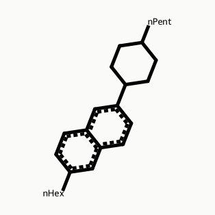 CCCCCCc1ccc2cc(C3CCC(CCCCC)CC3)ccc2c1